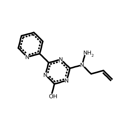 C=CCN(N)c1nc(O)nc(-c2ccccn2)n1